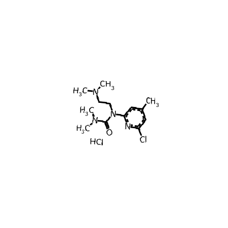 Cc1cc(Cl)nc(N(CCN(C)C)C(=O)N(C)C)c1.Cl